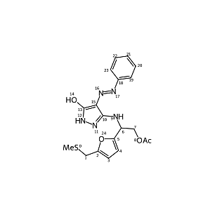 CSCc1ccc(C(COC(C)=O)Nc2n[nH]c(O)c2N=Nc2ccccc2)o1